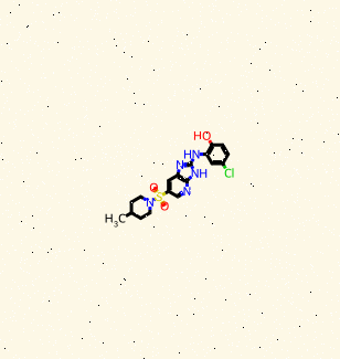 CC1CCN(S(=O)(=O)c2cnc3[nH]c(Nc4cc(Cl)ccc4O)nc3c2)CC1